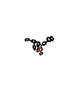 c1ccc(-c2ccc(N(c3ccc(-c4ccc5ccccc5c4)cc3)c3ccc(-c4ccc(-c5ccccc5)cc4-c4ccccc4)cc3-c3ccccc3)cc2)cc1